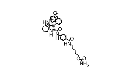 NC(=O)OCCCCCNC(=O)c1ccc(NC(=O)[C@@H]2NC3(CCCCC3)[C@@]3(C(=O)Nc4cc(Cl)ccc43)[C@H]2c2cccc(Cl)c2F)cc1